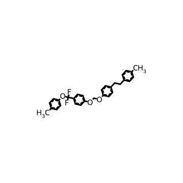 Cc1ccc(CCc2ccc(OCOc3ccc(C(F)(F)Oc4ccc(C)cc4)cc3)cc2)cc1